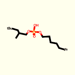 CC(C)CCCCCOP(=O)(O)OCC(C)CC(C)(C)C